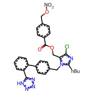 CCCCc1nc(Cl)c(COC(=O)c2ccc(CO[N+](=O)[O-])cc2)n1Cc1ccc(-c2ccccc2-c2nnn[nH]2)cc1